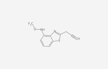 C#CCc1nc2c(NOC(F)(F)F)cccc2s1